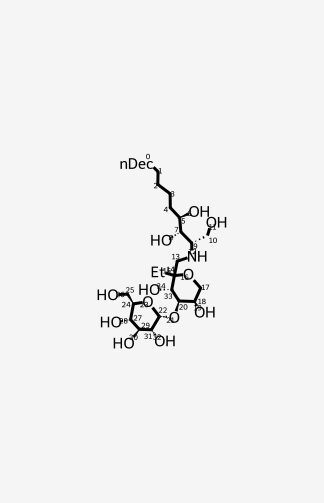 CCCCCCCCCCCCCC[C@@H](O)[C@@H](O)[C@H](CO)NCC1(CC)OC[C@@H](O)[C@@H](O[C@H]2O[C@H](CO)[C@@H](O)[C@H](O)[C@H]2O)[C@@H]1O